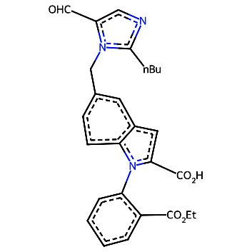 CCCCc1ncc(C=O)n1Cc1ccc2c(c1)cc(C(=O)O)n2-c1ccccc1C(=O)OCC